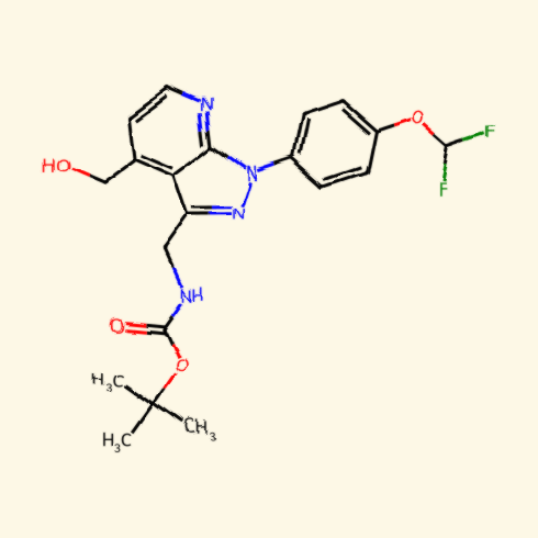 CC(C)(C)OC(=O)NCc1nn(-c2ccc(OC(F)F)cc2)c2nccc(CO)c12